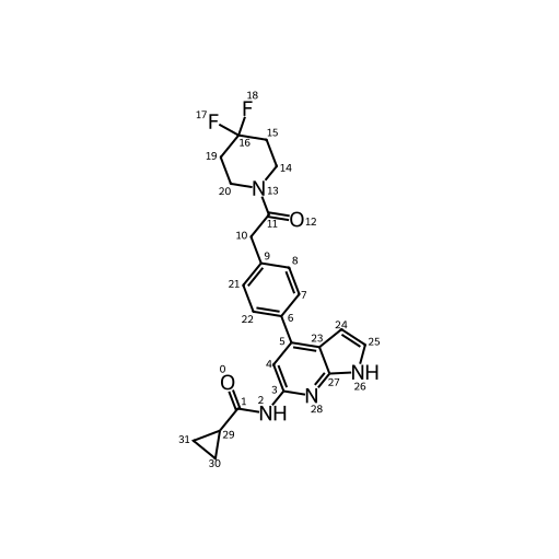 O=C(Nc1cc(-c2ccc(CC(=O)N3CCC(F)(F)CC3)cc2)c2cc[nH]c2n1)C1CC1